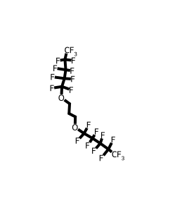 FC(F)(F)C(F)(F)C(F)(F)C(F)(F)C(F)(F)OCCCOC(F)(F)C(F)(F)C(F)(F)C(F)(F)C(F)(F)F